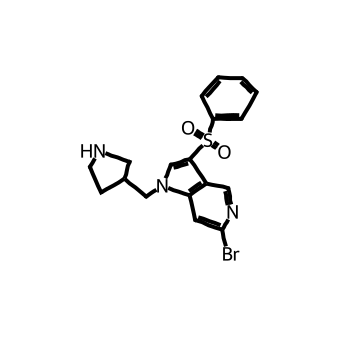 O=S(=O)(c1ccccc1)c1cn(CC2CCNC2)c2cc(Br)ncc12